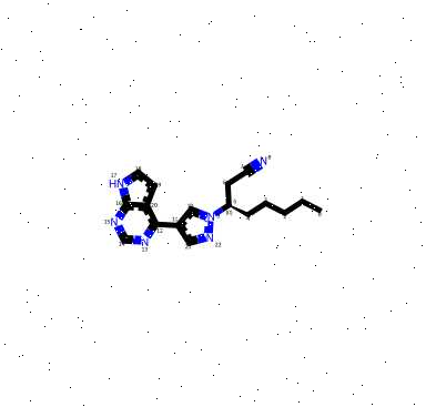 CCCCC[C@H](CC#N)n1cc(-c2ncnc3[nH]ccc23)cn1